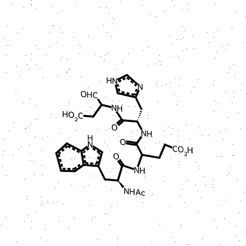 CC(=O)N[C@@H](Cc1c[nH]c2ccccc12)C(=O)NC(CCC(=O)O)C(=O)N[C@@H](Cc1c[nH]cn1)C(=O)NC(C=O)CC(=O)O